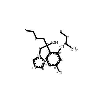 CCCCC(O)(Cn1cncn1)c1ccc(Cl)cc1Cl.CCCN